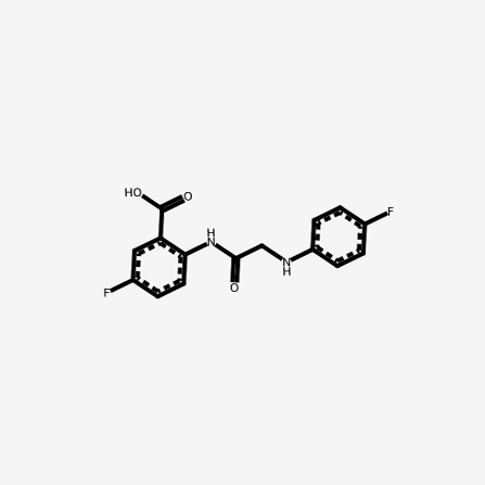 O=C(CNc1ccc(F)cc1)Nc1ccc(F)cc1C(=O)O